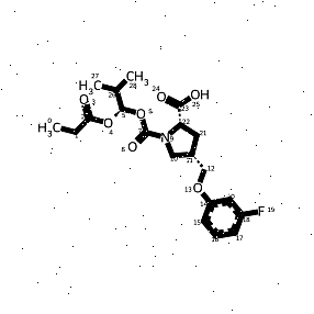 CCC(=O)O[C@@H](OC(=O)N1C[C@@H](COc2cccc(F)c2)C[C@H]1C(=O)O)C(C)C